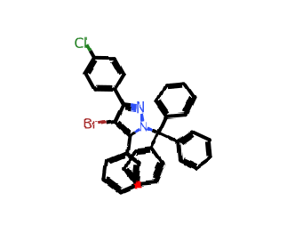 Clc1ccc(-c2nn(C(c3ccccc3)(c3ccccc3)c3ccccc3)c(-c3ccccc3)c2Br)cc1